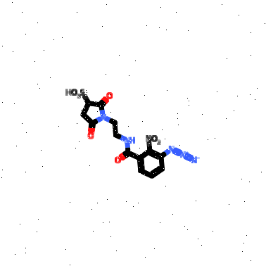 [N-]=[N+]=Nc1cccc(C(=O)NC[CH]N2C(=O)CC(S(=O)(=O)O)C2=O)c1[N+](=O)[O-]